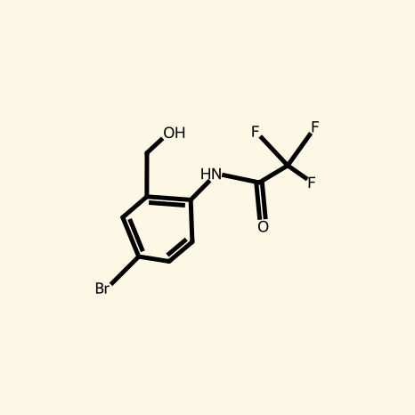 O=C(Nc1ccc(Br)cc1CO)C(F)(F)F